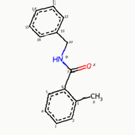 Cc1ccccc1C(=O)NCc1cc[c]cc1